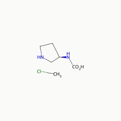 CCl.O=C(O)N[C@@H]1CCNC1